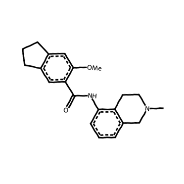 COc1cc2c(cc1C(=O)Nc1cccc3c1CCN(C)C3)CCC2